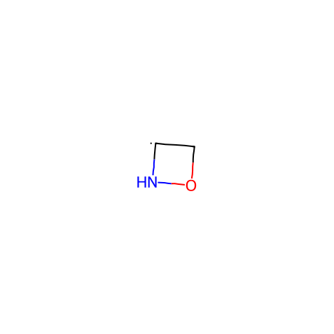 [CH]1CON1